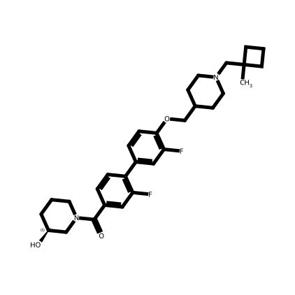 CC1(CN2CCC(COc3ccc(-c4ccc(C(=O)N5CCC[C@H](O)C5)cc4F)cc3F)CC2)CCC1